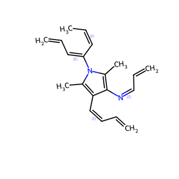 C=C/C=C\c1c(/N=C\C=C)c(C)n(C(/C=C\C)=C/C=C)c1C